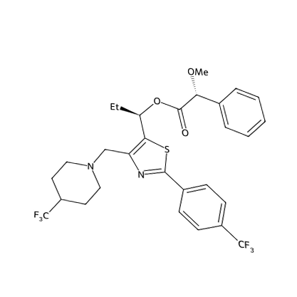 CC[C@@H](OC(=O)[C@H](OC)c1ccccc1)c1sc(-c2ccc(C(F)(F)F)cc2)nc1CN1CCC(C(F)(F)F)CC1